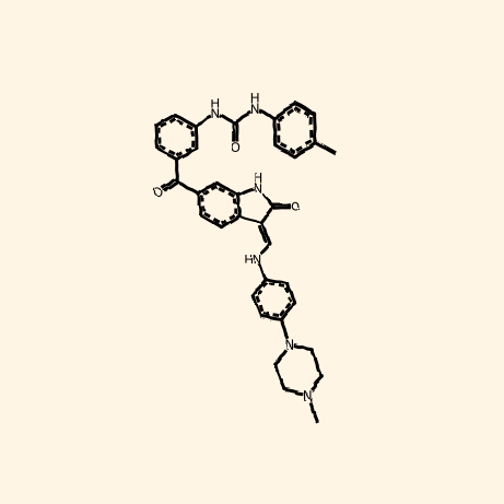 Cc1ccc(NC(=O)Nc2cccc(C(=O)c3ccc4c(c3)NC(=O)/C4=C/Nc3ccc(N4CCN(C)CC4)cc3)c2)cc1